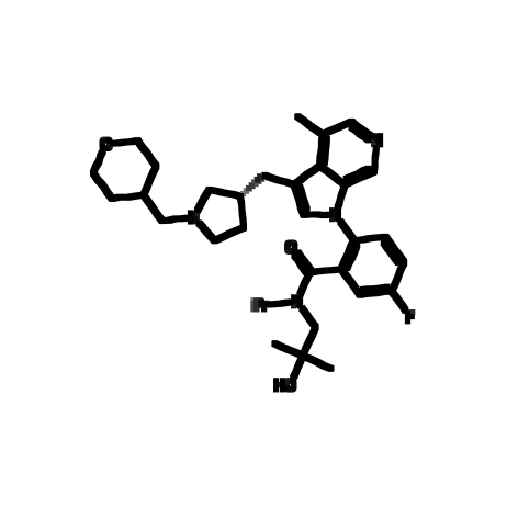 Cc1cncc2c1c(C[C@@H]1CCN(CC3CCOCC3)C1)cn2-c1ccc(F)cc1C(=O)N(CC(C)(C)O)C(C)C